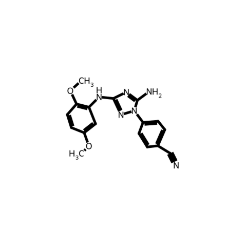 COc1ccc(OC)c(Nc2nc(N)n(-c3ccc(C#N)cc3)n2)c1